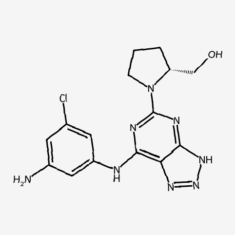 Nc1cc(Cl)cc(Nc2nc(N3CCC[C@@H]3CO)nc3[nH]nnc23)c1